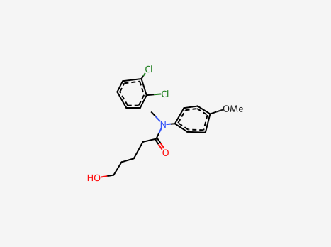 COc1ccc(N(C)C(=O)CCCCO)cc1.Clc1ccccc1Cl